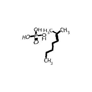 CCCCC=C(C)C.O=P(O)(O)O